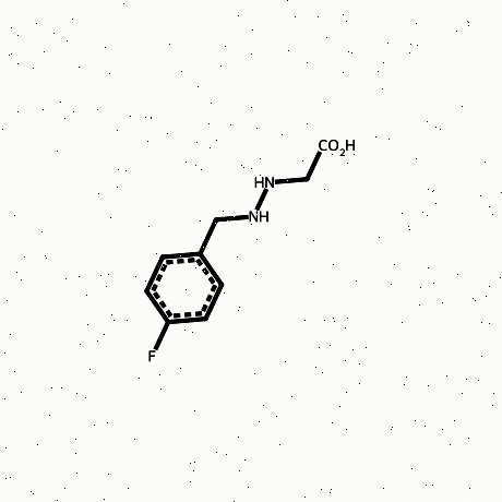 O=C(O)CNNCc1ccc(F)cc1